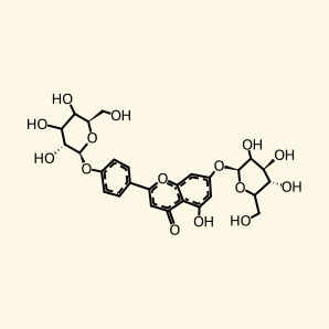 O=c1cc(-c2ccc(O[C@@H]3O[C@H](CO)C(O)C(O)[C@H]3O)cc2)oc2cc(O[C@@H]3OC(CO)[C@@H](O)[C@H](O)C3O)cc(O)c12